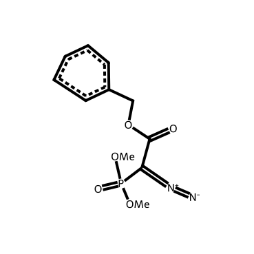 COP(=O)(OC)C(=[N+]=[N-])C(=O)OCc1ccccc1